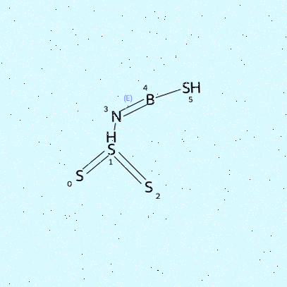 S=[SH](=S)/N=B/S